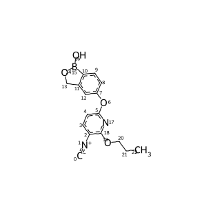 [C-]#[N+]c1ccc(Oc2ccc3c(c2)COB3O)nc1OCCC